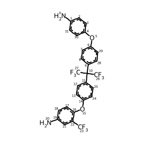 Nc1ccc(Oc2ccc(C(c3ccc(Oc4ccc(N)cc4C(F)(F)F)cc3)(C(F)(F)F)C(F)(F)F)cc2)cc1